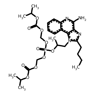 CCCCc1nc2c(N)nc3ccccc3c2n1CC(C)OP(=O)(OCOC(=O)OC(C)C)OCOC(=O)OC(C)C